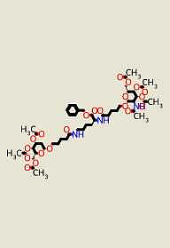 CC(=O)N[C@H]1[C@H](OCCCCC(=O)N[C@@H](CCCCNC(=O)CCCCO[C@H]2C[C@@H](OC(C)=O)[C@@H](OC(C)=O)[C@@H](COC(C)=O)O2)C(=O)OCc2ccccc2)O[C@H](COC(C)=O)[C@H](OC(C)=O)[C@@H]1OC(C)=O